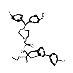 CCOC(=O)C1(NC(=O)CN2CCN(C(c3ccc(F)cc3)c3ccc(F)cc3)CC2)Cc2ccc(-c3ccc(Cl)cc3)cc2C1